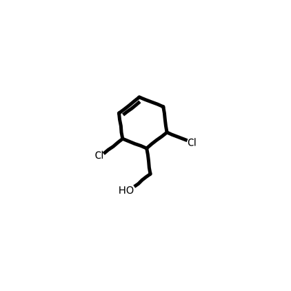 OCC1C(Cl)C=CCC1Cl